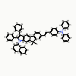 CC1(C)c2cc(/C=C/c3ccc(N(c4ccccc4)c4ccccc4)cc3)ccc2-c2cc3c(-c4ccccc4)c(-c4ccccc4)n(-c4cccc5ccccc45)c3cc21